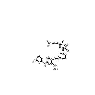 CCCNc1nc(Nc2cccc(F)c2)ncc1C#C[C@@H]1CCC[C@H](NC(=O)[C@H](C)N(C)C(=O)C=CCN(C)C)C1